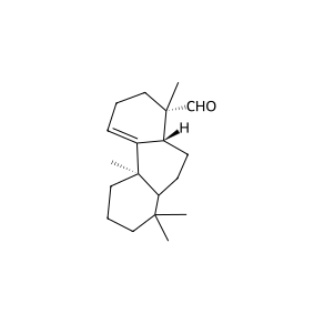 CC1(C)CCC[C@@]2(C)C3=CCC[C@](C)(C=O)[C@@H]3CCC12